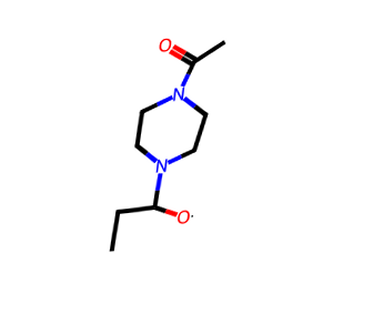 CCC([O])N1CCN(C(C)=O)CC1